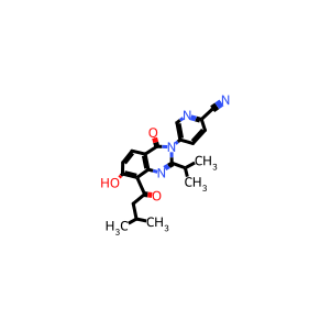 CC(C)CC(=O)c1c(O)ccc2c(=O)n(-c3ccc(C#N)nc3)c(C(C)C)nc12